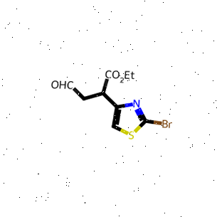 CCOC(=O)C(CC=O)c1csc(Br)n1